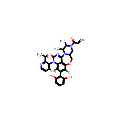 C=CC(=O)N1CC2COc3c(Cl)c(-c4c(O)cccc4O)c(F)c4c3c(nc(=O)n4-c3c(C)ccnc3C(C)C)N2C(C)C1C